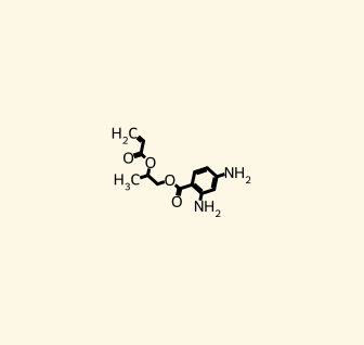 C=CC(=O)OC(C)COC(=O)c1ccc(N)cc1N